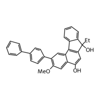 CCC1(O)c2ccccc2-c2c1cc(O)c1cc(OC)c(-c3ccc(-c4ccccc4)cc3)cc21